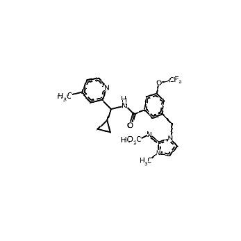 Cc1ccnc(C(NC(=O)c2cc(Cn3ccn(C)c3=NC(=O)O)cc(OC(F)(F)F)c2)C2CC2)c1